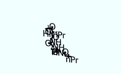 CCCC(C)(C)CC(=O)NCC(=O)N[C@@H](CC(C)C)C(=O)NCC(=O)N[C@@H](CC(C)C)C(=O)[C@@]1(C)CO1